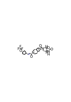 O=C1N[C@@H]2CCN(C(=O)n3cc4c(c3)C=CN(C(=O)/C=C/c3ccc(OC(F)(F)F)cc3)C=C4)C[C@H]2O1